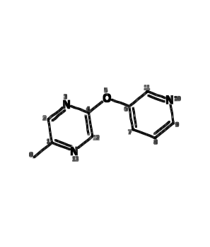 Cc1cnc(Oc2cccnc2)cn1